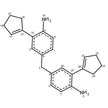 Nc1ccc(Cc2ccc(N)c(C3=CCCC3)c2)cc1C1=CCCC1